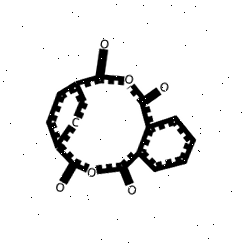 O=c1oc(=O)c2ccccc2c(=O)oc(=O)c2ccc1cc2